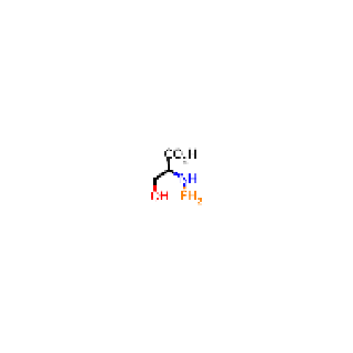 O=C(O)[C@H](CO)NP